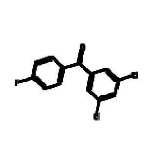 O=C(c1ccc(F)cc1)c1cc(Cl)cc(Cl)c1